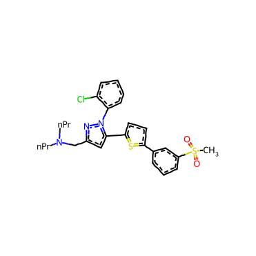 CCCN(CCC)Cc1cc(-c2ccc(-c3cccc(S(C)(=O)=O)c3)s2)n(-c2ccccc2Cl)n1